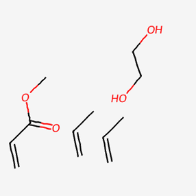 C=CC.C=CC.C=CC(=O)OC.OCCO